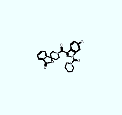 O=C1OC2(CCN(C(=O)c3cn(C(=O)N4CCCCC4)c4cc(Cl)ccc34)CC2)c2ccccc21